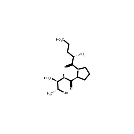 C[C@@H](O)[C@H](NC(=O)[C@@H]1CCCN1C(=O)[C@@H](N)CCC(=O)O)C(=O)O